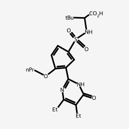 CCCOc1ccc(S(=O)(=O)NC(C(=O)O)C(C)(C)C)cc1-c1nc(CC)c(CC)c(=O)[nH]1